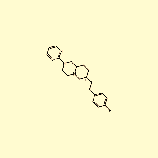 Fc1ccc(SC[C@@H]2CCC3CN(c4ncccn4)CCN3C2)cc1